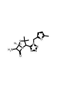 Cc1ccc(Cn2nnnc2C2N3C(=O)C(N)[C@H]3SC2(C)C)o1